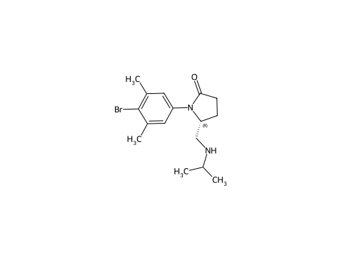 Cc1cc(N2C(=O)CC[C@@H]2CNC(C)C)cc(C)c1Br